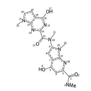 CNC(=O)c1cc(O)c2cc(N(C)C(=O)c3nc(O)c4ccn(C)c4n3)n(C)c2n1